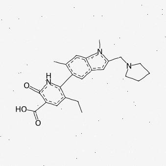 CCc1cc(C(=O)O)c(=O)[nH]c1-c1cc2cc(CN3CCCC3)n(C)c2cc1C